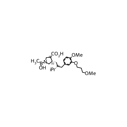 COCCCOc1cc(C[C@@H](C[C@@H]2CN(B(C)O)C[C@H]2C(=O)O)C(C)C)ccc1OC